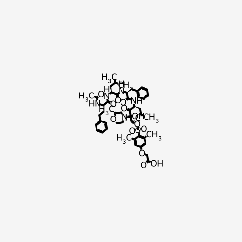 CC(=O)N[C@@H](CCc1ccccc1)C(=O)N[C@@H](CC(C)C)C(=O)N[C@@H](Cc1ccccc1)C(=O)N[C@@H](CC(C)C)C(=O)C(O)(COS(=O)(=O)c1c(C)cc(OCC(=O)O)cc1C)N1CCOC(C)C1